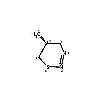 C[C@H]1CN=NSC1